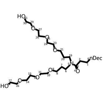 CCCCCCCCCCCCC(=O)N(CCCOCCOCCOCCO)CCCOCCOCCOCCO